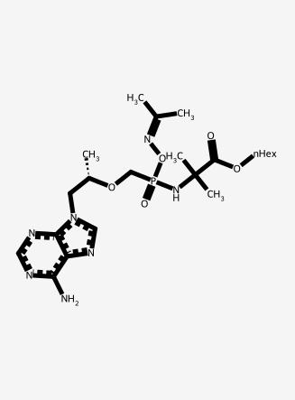 CCCCCCOC(=O)C(C)(C)NP(=O)(CO[C@@H](C)Cn1cnc2c(N)ncnc21)ON=C(C)C